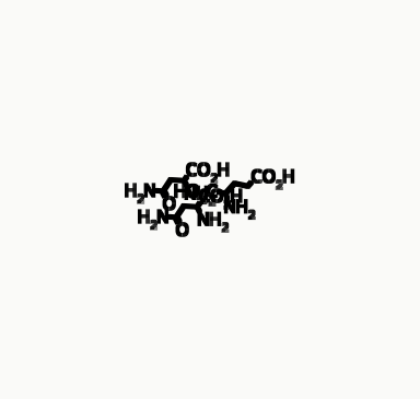 NC(=O)CC(N)C(=O)O.NC(=O)CC(N)C(=O)O.NC(CCC(=O)O)C(=O)O